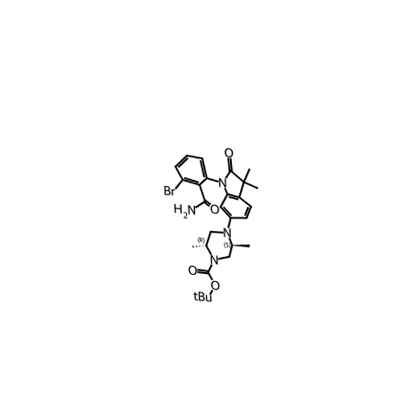 C[C@@H]1CN(c2ccc3c(c2)N(c2cccc(Br)c2C(N)=O)C(=O)C3(C)C)[C@@H](C)CN1C(=O)OC(C)(C)C